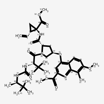 C=C[C@@H]1C[C@]1(NC(=O)[C@@H]1C[C@@H](Oc2cc(C(=O)OC)nc3c(C)c(OC)ccc23)CN1C(=O)[C@@H](NC(=O)N[C@H](C)C(C)(C)C)C(C)(C)C)C(=O)OC